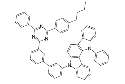 CCCCc1ccc(-c2nc(-c3ccccc3)nc(-c3cccc(-c4cccc(-n5c6ccccc6c6c5ccc5c7ccccc7n(-c7ccccc7)c56)c4)c3)n2)cc1